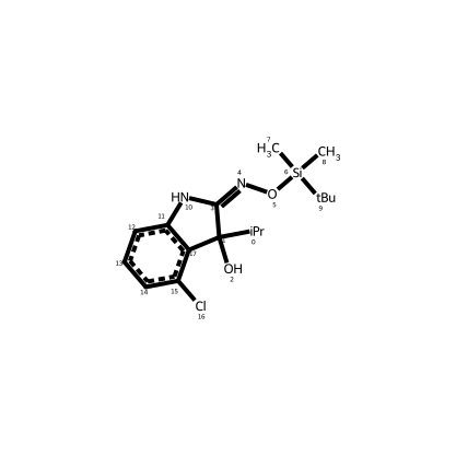 CC(C)C1(O)C(=NO[Si](C)(C)C(C)(C)C)Nc2cccc(Cl)c21